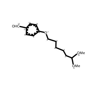 COC(CCCCCOc1ccc(C=O)cc1)OC